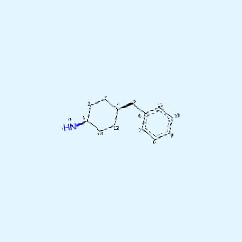 [NH][C@H]1CC[C@@H](Cc2ccccc2)CC1